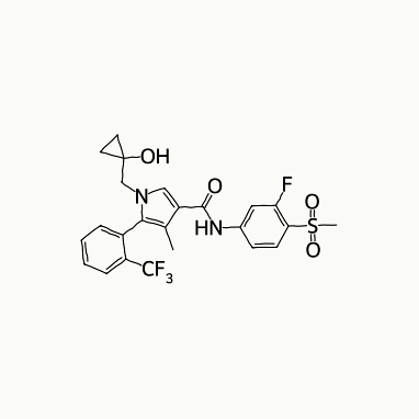 Cc1c(C(=O)Nc2ccc(S(C)(=O)=O)c(F)c2)cn(CC2(O)CC2)c1-c1ccccc1C(F)(F)F